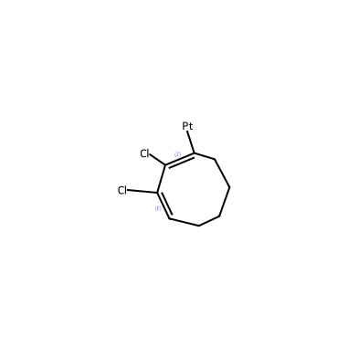 ClC1=[C](\[Pt])CCCC/C=C\1Cl